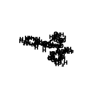 C[C@]1(N)CNCCNC[C@](N)(NC(=O)CCCC(=O)N[C@@H](Cc2ccc(O)cc2)C(=O)NCCCCCC(=O)N[C@@H](CSC2CC(=O)N(CCC(=O)NCCCCC3NC(=O)[C@@H](Cc4ccccc4)NC(=O)[C@@H](CC(=O)O)NC(=O)NC(=O)[C@H](CCCNC(=N)N)NC3=O)C2=O)C(N)=O)CNCCNC1